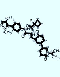 Cc1cnn(C)c1-c1ccc(NC(=O)C(Cc2cc(-c3ccc(=O)n(C(C)C)c3)ccc2Cl)NC(=O)C2(F)CCC2)cc1